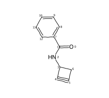 O=C(NC1C#CC1)c1ccccc1